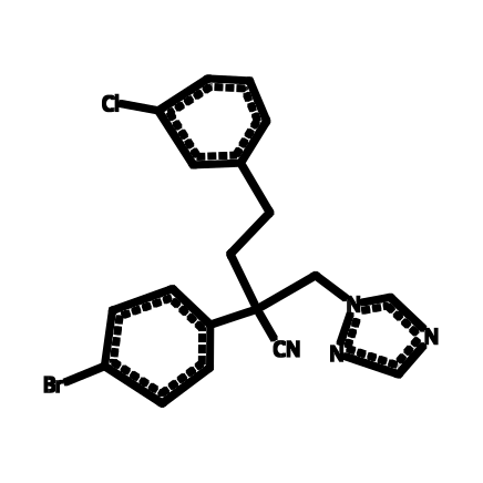 N#CC(CCc1cccc(Cl)c1)(Cn1cncn1)c1ccc(Br)cc1